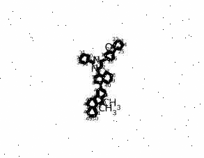 CC1(C)c2ccc(-c3ccc(-c4cc(-c5ccc6c(c5)oc5ccccc56)nc(-c5ccccc5)n4)c4ccccc34)cc2-c2ccc3ccccc3c21